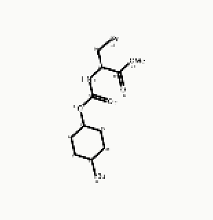 CCCCC1CCC(OC(=O)N[C@@H](CC(C)C)C(=O)OC)CC1